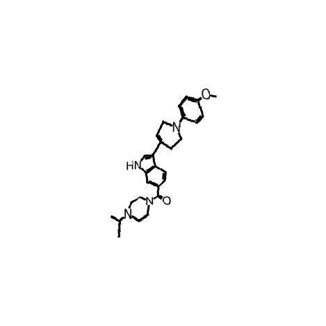 COc1ccc(N2CC=C(c3c[nH]c4cc(C(=O)N5CCN(C(C)C)CC5)ccc34)CC2)cc1